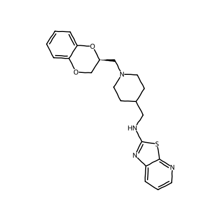 c1ccc2c(c1)OC[C@H](CN1CCC(CNc3nc4cccnc4s3)CC1)O2